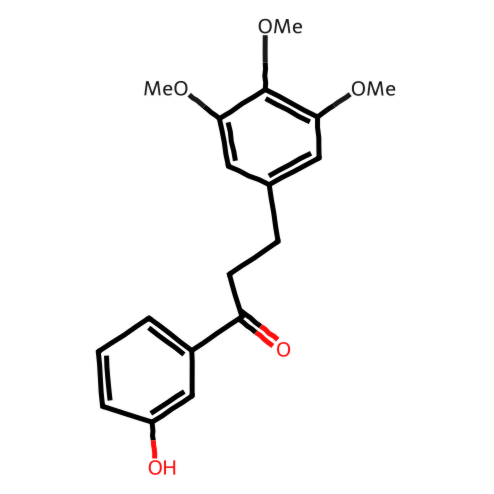 COc1cc(CCC(=O)c2cccc(O)c2)cc(OC)c1OC